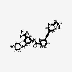 CN1CCN(Cc2cc(NC(=O)c3cccc(C#Cc4cnc5ccnn5c4)c3)cc(C(F)(F)F)c2)CC1